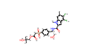 Cc1cc2c(cc(C(=O)N[C@H](CO)c3ccc(S(=O)(=O)CC(=O)OCC(C)(C)O)cc3)n2C)c(F)c1F